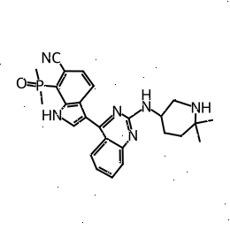 CC1(C)CCC(Nc2nc(-c3c[nH]c4c(P(C)(C)=O)c(C#N)ccc34)c3ccccc3n2)CN1